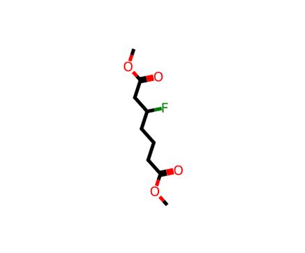 COC(=O)CCCC(F)CC(=O)OC